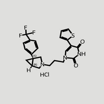 Cl.O=c1[nH]c(=O)n(CCCN2C[C@@H]3C[C@]3(c3ccc(C(F)(F)F)cc3)C2)cc1-c1cccs1